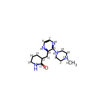 CN1CCN(c2nccnc2CC2CCCNC2=O)CC1